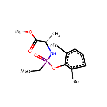 CCCc1cccc(C(C)CC)c1OP(=O)(COC)N[C@@H](C)C(=O)O[C@H](C)CC